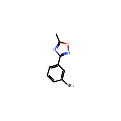 Cc1nc(-c2cccc(C(C)(C)C)c2)no1